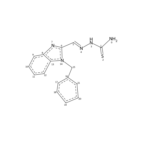 NC(=S)N/N=C/c1nc2ccccc2n1Cc1ccccc1